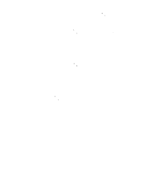 Cc1cccc(C)c1CN1CCN(c2cc(=O)[nH]cn2)CC1